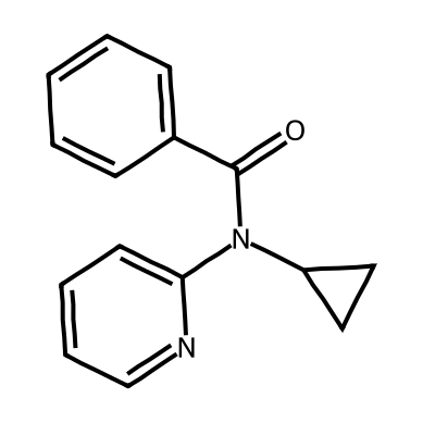 O=C(c1ccccc1)N(c1ccccn1)C1CC1